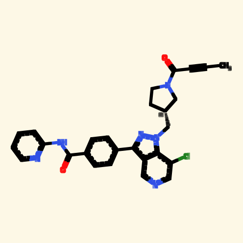 CC#CC(=O)N1CC[C@@H](Cn2nc(-c3ccc(C(=O)Nc4ccccn4)cc3)c3cncc(Cl)c32)C1